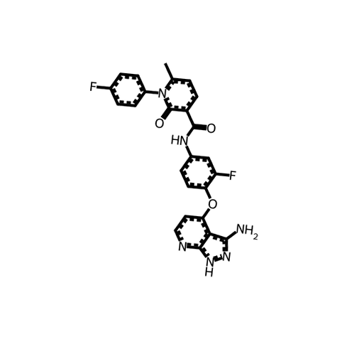 Cc1ccc(C(=O)Nc2ccc(Oc3ccnc4[nH]nc(N)c34)c(F)c2)c(=O)n1-c1ccc(F)cc1